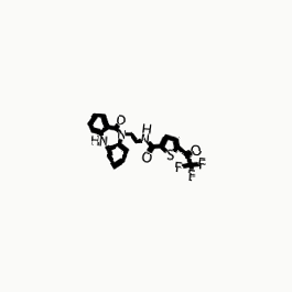 O=C(NCCN1C(=O)c2ccccc2Nc2ccccc21)c1ccc(C(=O)C(F)(F)F)s1